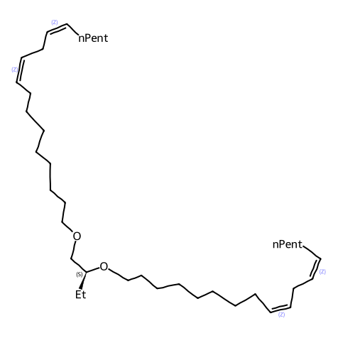 [CH2]C[C@@H](COCCCCCCCC/C=C\C/C=C\CCCCC)OCCCCCCCC/C=C\C/C=C\CCCCC